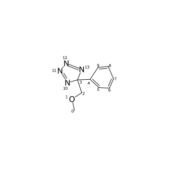 COCC1(c2ccccc2)N=NN=N1